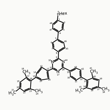 CCCCCCc1ccc(-c2ccc(-c3nc(-c4ccc(-c5c(C)cc(C)cc5C)cc4)nc(-c4ccc(-c5c(C)cc(C)cc5C)cc4)n3)cc2)cc1